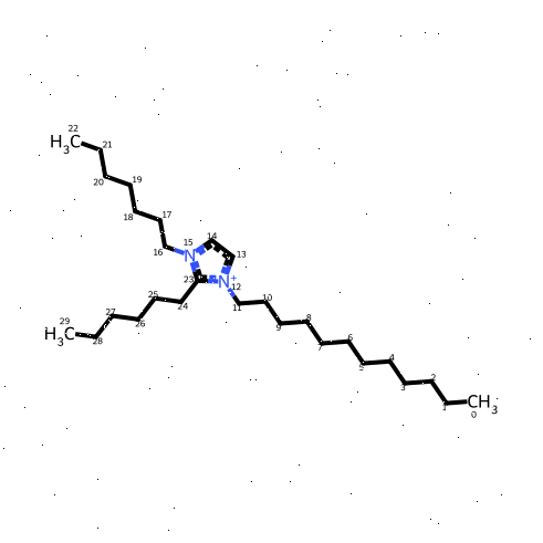 CCCCCCCCCCCC[n+]1ccn(CCCCCCC)c1CCCCCC